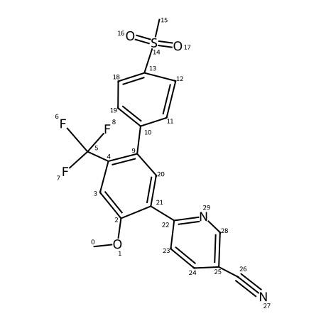 COc1cc(C(F)(F)F)c(-c2ccc(S(C)(=O)=O)cc2)cc1-c1ccc(C#N)cn1